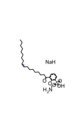 CCCCCCCC/C=C\CCCCCCCC(=O)c1cccc(S(=O)(=O)O)c1OCN.[NaH]